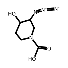 [N-]=[N+]=NC1CN(C(=O)O)CCC1O